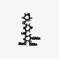 COc1cc(Nc2cncc(Oc3ccncc3)n2)cc(OC)c1OC